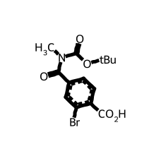 CN(C(=O)OC(C)(C)C)C(=O)c1ccc(C(=O)O)c(Br)c1